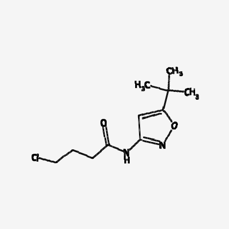 CC(C)(C)c1cc(NC(=O)CCCCl)no1